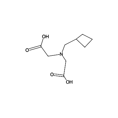 O=C(O)CN(CC(=O)O)CC1CCC1